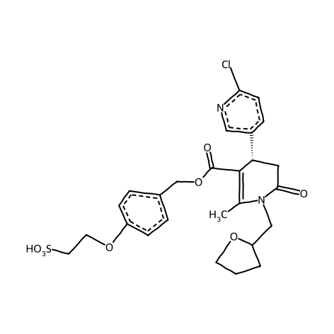 CC1=C(C(=O)OCc2ccc(OCCS(=O)(=O)O)cc2)[C@H](c2ccc(Cl)nc2)CC(=O)N1CC1CCCO1